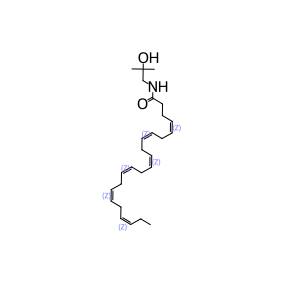 CC/C=C\C/C=C\C/C=C\C/C=C\C/C=C\C/C=C\CCC(=O)NCC(C)(C)O